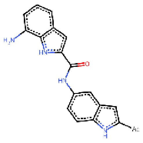 CC(=O)c1cc2cc(NC(=O)c3cc4cccc(N)c4[nH]3)ccc2[nH]1